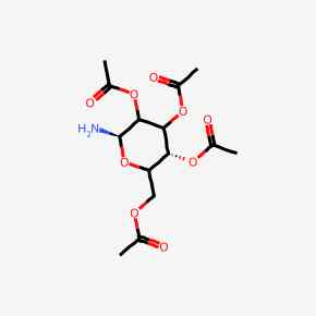 CC(=O)OCC1O[C@@H](N)C(OC(C)=O)C(OC(C)=O)[C@@H]1OC(C)=O